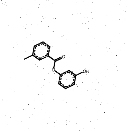 Cc1cccc(C(=O)Oc2cccc(O)c2)c1